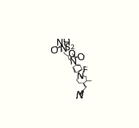 CSN(CC1CN(c2ccc(N3CCC(=CC#N)C(C)C3)c(F)c2)C(=O)O1)C(N)=O